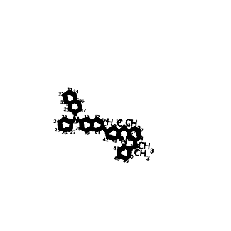 CC1(C)C2=C3C(CC=C2)C(C)(C)c2cc(-c4ccc5cc(N(c6ccccc6)C6C=c7ccccc7=CC6)ccc5c4)ccc2N3c2ccccc21